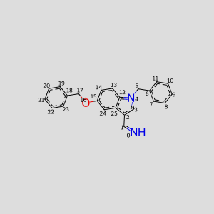 N=Cc1cn(Cc2ccccc2)c2ccc(OCc3ccccc3)cc12